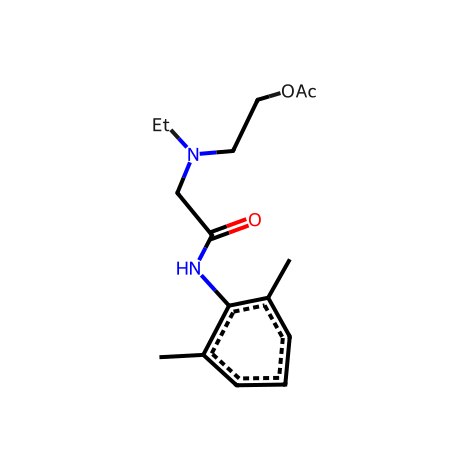 CCN(CCOC(C)=O)CC(=O)Nc1c(C)cccc1C